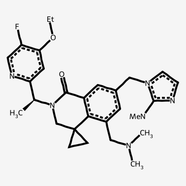 CCOc1cc([C@H](C)N2CC3(CC3)c3c(CN(C)C)cc(Cn4ccnc4NC)cc3C2=O)ncc1F